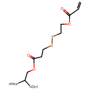 C=CC(=O)OCCSSCCC(=O)OCC(CCCCCC)CCCCCCCC